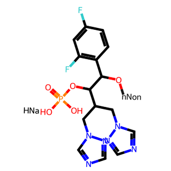 CCCCCCCCCOC(c1ccc(F)cc1F)C(OP(=O)(O)O)C(Cn1cncn1)Cn1cncn1.[NaH]